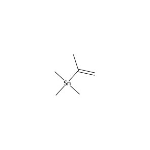 C=[C](C)[Sn]([CH3])([CH3])[CH3]